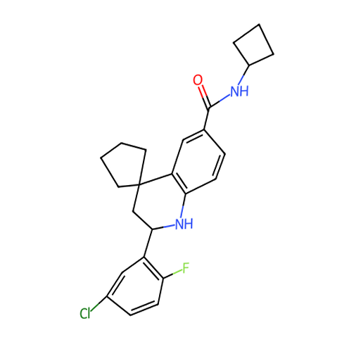 O=C(NC1CCC1)c1ccc2c(c1)C1(CCCC1)CC(c1cc(Cl)ccc1F)N2